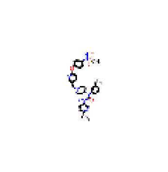 Cc1cccc(N(C(=O)Nc2ccc(C)nc2)C2CCN(Cc3ccc(Oc4ccc(NS(C)(=O)=O)cc4)nc3)CC2)c1